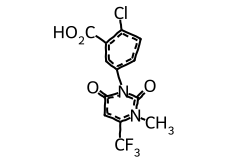 Cn1c(C(F)(F)F)cc(=O)n(-c2ccc(Cl)c(C(=O)O)c2)c1=O